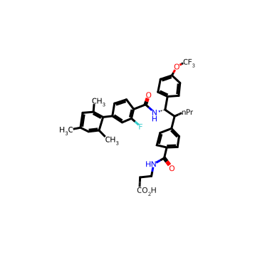 CCCC(c1ccc(C(=O)NCCC(=O)O)cc1)[C@H](NC(=O)c1ccc(-c2c(C)cc(C)cc2C)cc1F)c1ccc(OC(F)(F)F)cc1